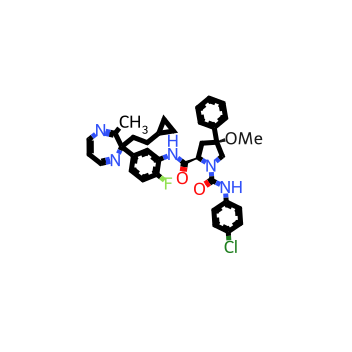 CO[C@]1(c2ccccc2)C[C@H](C(=O)Nc2cc(C3(CCC4CC4)N=CC=CN=C3C)ccc2F)N(C(=O)Nc2ccc(Cl)cc2)C1